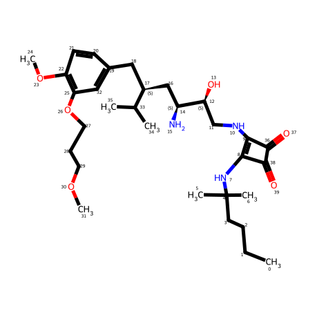 CCCCC(C)(C)Nc1c(NC[C@H](O)[C@@H](N)C[C@H](Cc2ccc(OC)c(OCCCOC)c2)C(C)C)c(=O)c1=O